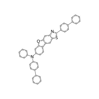 c1ccc(-c2ccc(-c3nc4cc5oc6cc(N(c7ccccc7)c7ccc(-c8ccccc8)cc7)ccc6c5cc4s3)cc2)cc1